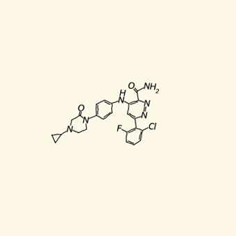 NC(=O)c1nnc(-c2c(F)cccc2Cl)cc1Nc1ccc(N2CCN(C3CC3)CC2=O)cc1